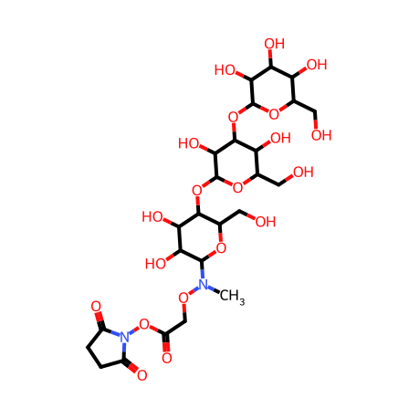 CN(OCC(=O)ON1C(=O)CCC1=O)C1OC(CO)C(OC2OC(CO)C(O)C(OC3OC(CO)C(O)C(O)C3O)C2O)C(O)C1O